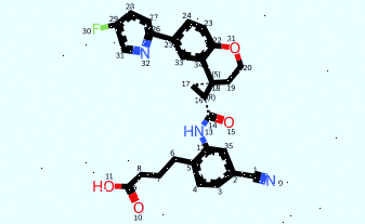 N#Cc1ccc(CCCC(=O)O)c(NC(=O)[C@@H]2C[C@]23CCOc2ccc(-c4ccc(F)cn4)cc23)c1